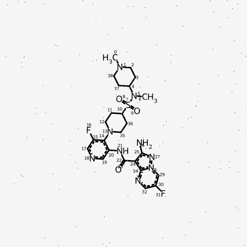 CN1CCC(N(C)S(=O)(=O)C2CCN(c3c(F)cncc3NC(=O)c3c(N)nn4cc(F)cnc34)CC2)CC1